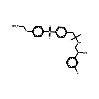 CC(C)(Cc1ccc(S(=O)(=O)c2ccc(OCC(=O)O)cc2)cc1)NC[C@@H](O)c1cccc(Cl)c1